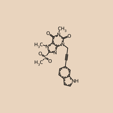 Cn1c(=O)c2c(nc(S(C)(=O)=O)n2C)n(CC#Cc2ccc3cc[nH]c3c2)c1=O